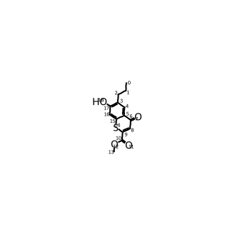 CCCc1cc2c(=O)cc(C(=O)OC)sc2cc1O